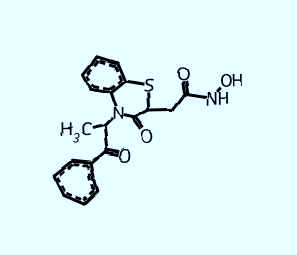 CC(C(=O)c1ccccc1)N1C(=O)C(CC(=O)NO)Sc2ccccc21